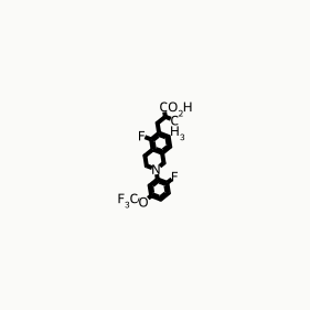 CC(Cc1ccc2c(c1F)CCN(c1cc(OC(F)(F)F)ccc1F)C2)C(=O)O